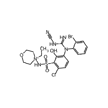 CC[N+]1(NS(=O)(=O)c2c(Cl)ccc(N(C(=N)NC#N)c3ccccc3Br)c2O)CCOCC1